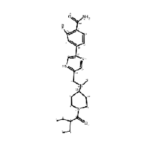 CCC(CC)C(=O)N1CCC(N(C)Cc2cnc(-c3ccc(C(N)=O)c(F)c3)cn2)CC1